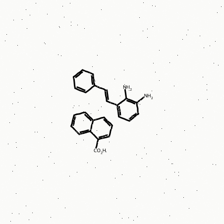 Nc1cccc(C=Cc2ccccc2)c1N.O=C(O)c1cccc2ccccc12